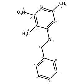 Cc1cc(OCc2ccccc2)c(C)c([N+](=O)[O-])c1